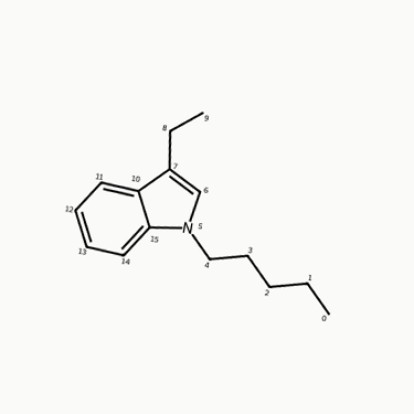 CCCCCn1cc(CC)c2ccccc21